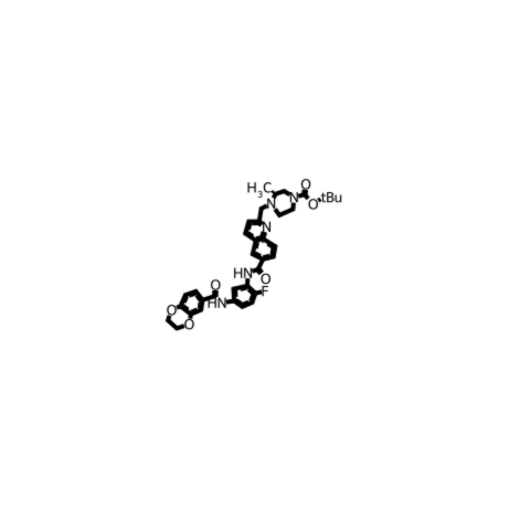 C[C@H]1CN(C(=O)OC(C)(C)C)CCN1Cc1ccc2cc(C(=O)Nc3cc(NC(=O)c4ccc5c(c4)OCCO5)ccc3F)ccc2n1